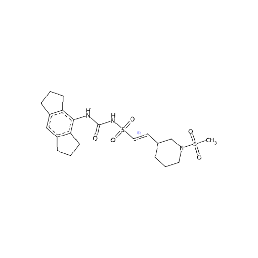 CS(=O)(=O)N1CCCC(/C=C/S(=O)(=O)NC(=O)Nc2c3c(cc4c2CCC4)CCC3)C1